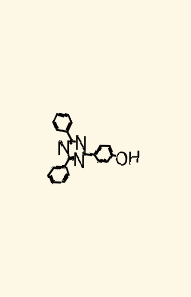 Oc1ccc(-c2nc(-c3ccccc3)nc(-c3ccccc3)n2)cc1